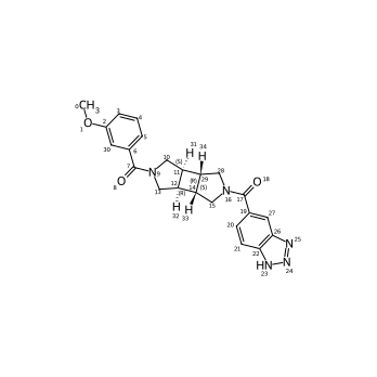 COc1cccc(C(=O)N2C[C@@H]3[C@H](C2)[C@H]2CN(C(=O)c4ccc5[nH]nnc5c4)C[C@@H]32)c1